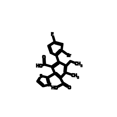 CCc1c(C)c(C(=O)O)c(-c2nccs2)c(C(=O)O)c1-c1ccc(F)cc1Br